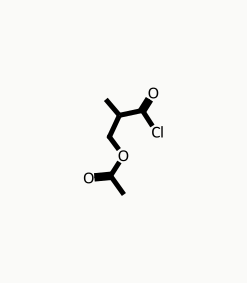 CC(=O)OCC(C)C(=O)Cl